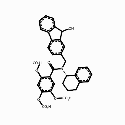 O=C(O)Oc1cc(OC(=O)O)c(C(=O)N(Cc2ccc3c(c2)C(O)c2ccccc2-3)[C@H]2CCCc3ccccc32)cc1OC(=O)O